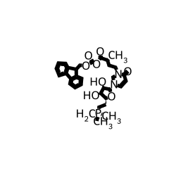 C=P(C)(C)CC[C@H]1OC(N2C=CC(=O)N(CCC(C)C(=O)OC(=O)OCC3c4ccccc4-c4ccccc43)C2)[C@H](O)[C@@H]1O